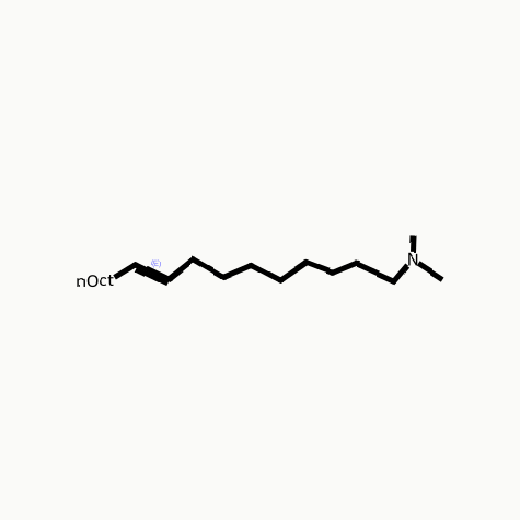 CCCCCCCC/C=C/CCCCCCCCN(C)C